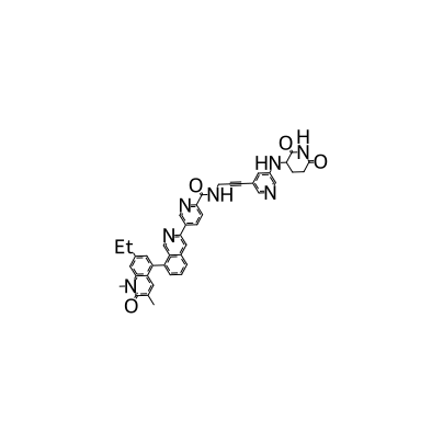 CCc1cc(-c2cccc3cc(-c4ccc(C(=O)NCC#Cc5cncc(NC6CCC(=O)NC6=O)c5)nc4)ncc23)c2cc(C)c(=O)n(C)c2c1